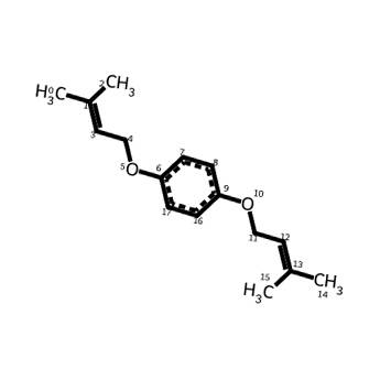 CC(C)=CCOc1ccc(OCC=C(C)C)cc1